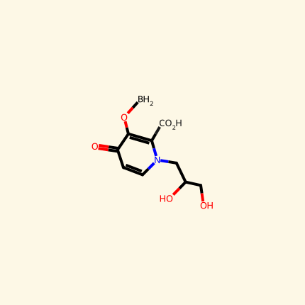 BOc1c(C(=O)O)n(CC(O)CO)ccc1=O